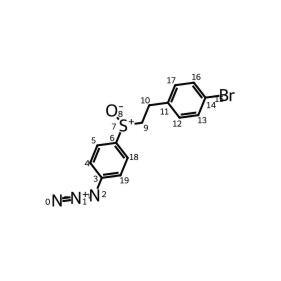 [N-]=[N+]=Nc1ccc([S+]([O-])CCc2ccc(Br)cc2)cc1